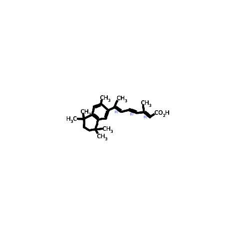 CC(/C=C/C=C(\C)c1cc2c(cc1C)C(C)(C)CCC2(C)C)=C\C(=O)O